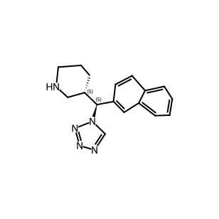 c1ccc2cc([C@H]([C@H]3CCCNC3)n3cnnn3)ccc2c1